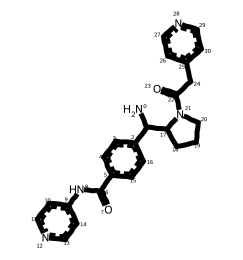 NC(c1ccc(C(=O)Nc2ccncc2)cc1)C1CCCN1C(=O)Cc1ccncc1